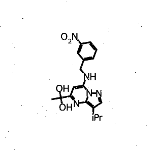 CC(C)c1cnn2c(NCc3cccc([N+](=O)[O-])c3)cc(C(C)(O)O)nc12